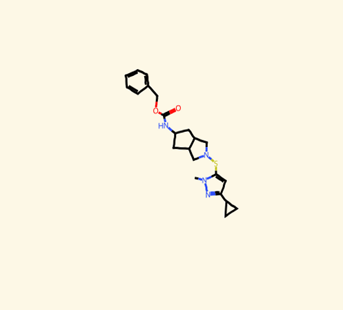 Cn1nc(C2CC2)cc1SN1CC2CC(NC(=O)OCc3ccccc3)CC2C1